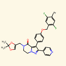 CC(C)c1cc(F)c(COc2ccc(-c3c(-c4ccncc4)nn4c3C(=O)N(CC3=COC(C)(C)O3)CC4)cc2)cc1F